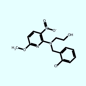 COc1ccc([N+](=O)[O-])c(N(CCO)Cc2ccccc2Cl)n1